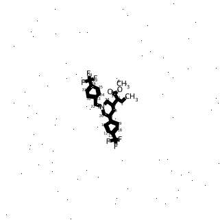 CCC(C(=O)OC)C1CC(c2ccc(C(F)(F)F)cc2)CN(Cc2ccc(C(F)(F)F)cc2)C1